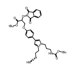 CC(C)(C)OC(=O)NCCCn1cc(-c2ccc(OCC(ON3C(=O)c4ccccc4C3=O)C(=O)OC(C)(C)C)cc2)c[n+]1CCN=[N+]=N